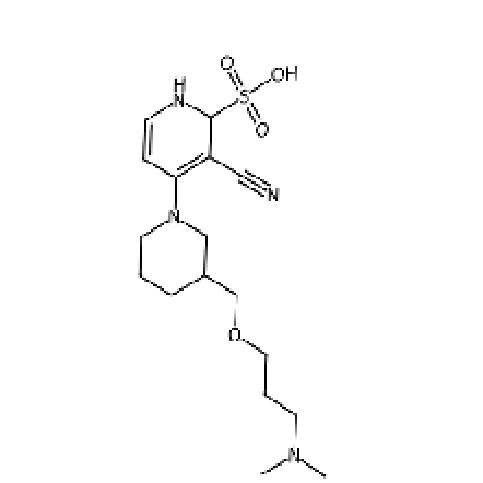 CN(C)CCCOCC1CCCN(C2=C(C#N)C(S(=O)(=O)O)NC=C2)C1